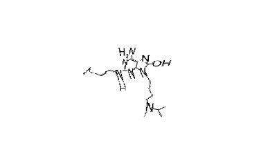 CCCCNc1nc(N)c2nc(O)n(CCCCN(C)C(C)C)c2n1